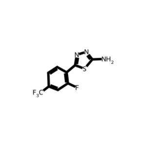 Nc1nnc(-c2ccc(C(F)(F)F)cc2F)s1